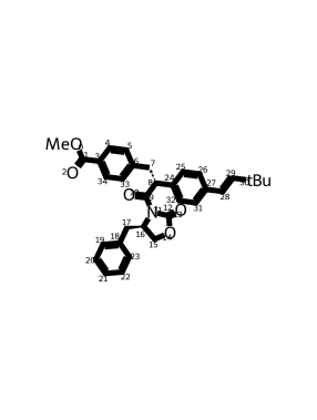 COC(=O)c1ccc(C[C@@H](C(=O)N2C(=O)OC[C@H]2Cc2ccccc2)c2ccc(/C=C/C(C)(C)C)cc2)cc1